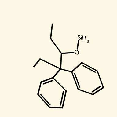 CCC(O[SiH3])C(CC)(c1ccccc1)c1ccccc1